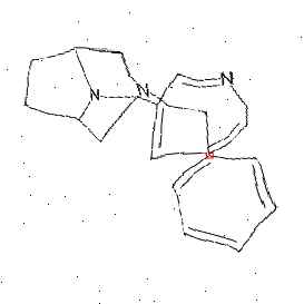 c1ccc(CN2CC3CCC(C2)N3c2cccnc2)cc1